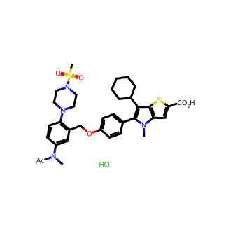 CC(=O)N(C)c1ccc(N2CCN(S(C)(=O)=O)CC2)c(COc2ccc(-c3c(C4CCCCC4)c4sc(C(=O)O)cc4n3C)cc2)c1.Cl